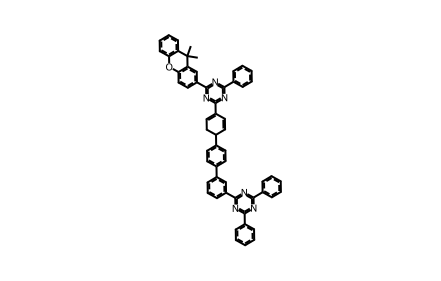 CC1(C)c2ccccc2Oc2ccc(-c3nc(C4=CCC(c5ccc(-c6cccc(-c7nc(-c8ccccc8)nc(-c8ccccc8)n7)c6)cc5)C=C4)nc(-c4ccccc4)n3)cc21